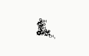 CCN1CCN(C(=O)NC(C(=O)NC2C(=O)N3C(C(=O)O)=CCS[C@@H]23)c2ccccc2)C(=O)C1=O